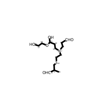 CC(C=O)CSCCN(CCC=O)CCC(O)OCCO